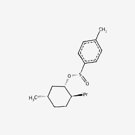 Cc1ccc([S@](=O)O[C@H]2C[C@@H](C)CC[C@@H]2C(C)C)cc1